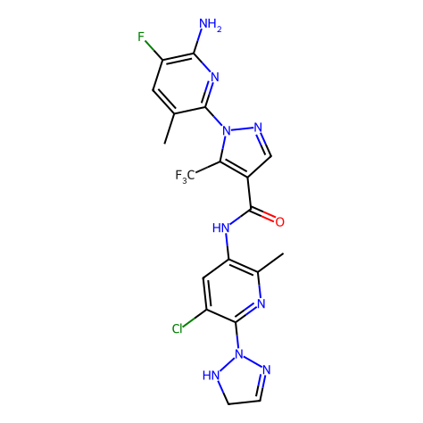 Cc1cc(F)c(N)nc1-n1ncc(C(=O)Nc2cc(Cl)c(N3N=CCN3)nc2C)c1C(F)(F)F